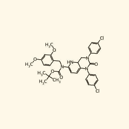 COc1ccc(CN(C(=O)OC(C)(C)C)C2=CC=C3C(CN(c4ccc(Cl)cc4)C(=O)N3c3ccc(Cl)cc3)N2)c(OC)c1